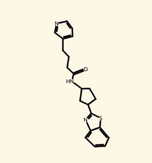 O=C(CCCc1cccnc1)NC1CCC(c2nc3ccccc3s2)C1